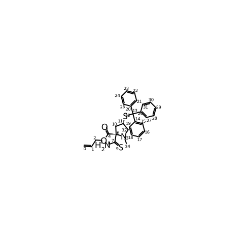 C=CCOC(=O)[C@@]1(C(N)=S)C[C@H](SC(c2ccccc2)(c2ccccc2)c2ccccc2)CN1C